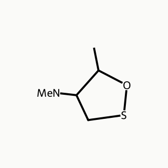 CNC1CSOC1C